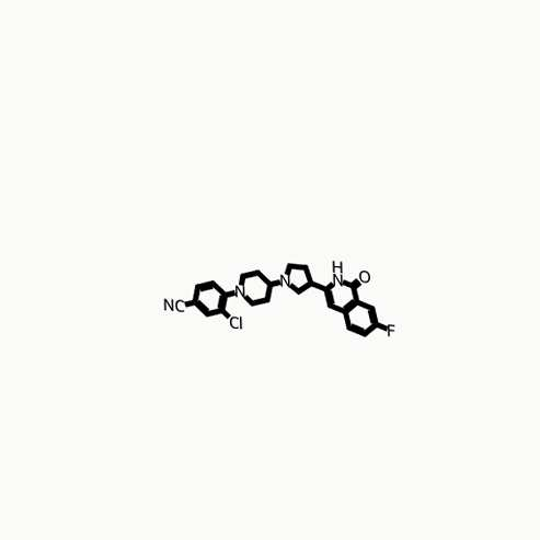 N#Cc1ccc(N2CCC(N3CCC(c4cc5ccc(F)cc5c(=O)[nH]4)C3)CC2)c(Cl)c1